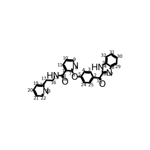 O=C(c1ccc(Oc2ncccc2C(=O)NCCc2ccccn2)cc1)c1nc2ccccc2[nH]1